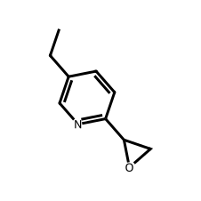 CCc1ccc(C2CO2)nc1